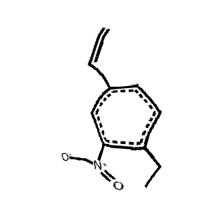 C=Cc1ccc(CC)c([N+](=O)[O-])c1